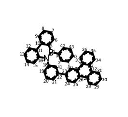 c1ccc(B2c3ccccc3-c3ccccc3N2c2cccc(-c3ccc4c5ccccc5c5ccccc5c4c3)c2)cc1